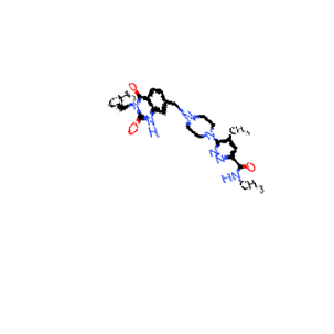 CCn1c(=O)[nH]c2cc(CN3CCN(c4nnc(C(=O)NC)cc4C)CC3)ccc2c1=O